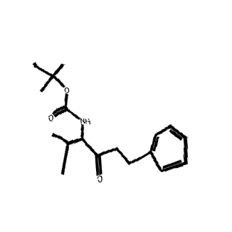 CC(C)C(NC(=O)OC(C)(C)C)C(=O)CCc1ccccc1